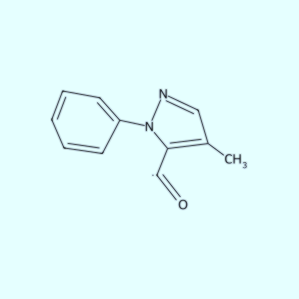 Cc1cnn(-c2ccccc2)c1[C]=O